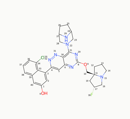 Oc1cc(-c2cc3nc(OC[C@@]45CCCN4C[C@H](F)C5)nc(N4CC5CCC(C4)N5)c3nn2)c2c(Cl)cccc2c1